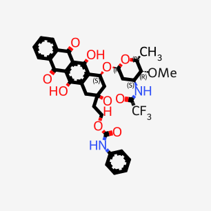 CO[C@@H]1[C@@H](NC(=O)C(F)(F)F)C[C@H](O[C@H]2CC(O)(CCOC(=O)Nc3ccccc3)Cc3c(O)c4c(c(O)c32)C(=O)c2ccccc2C4=O)O[C@@H]1C